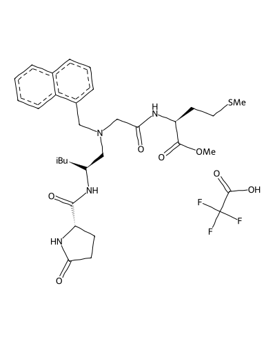 CC[C@H](C)[C@@H](CN(CC(=O)N[C@@H](CCSC)C(=O)OC)Cc1cccc2ccccc12)NC(=O)[C@@H]1CCC(=O)N1.O=C(O)C(F)(F)F